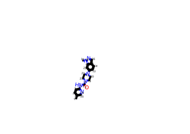 Cc1ccc(NC(=O)N2CCN(c3ccc4cnn(C)c4c3)CC2)nc1